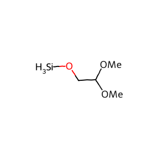 COC(CO[SiH3])OC